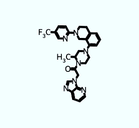 CC1CN(c2cccc3c2CN(c2ccc(C(F)(F)F)cn2)CC3)CCN1C(=O)Cn1cnc2cccnc21